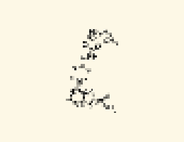 CC(C)(C)OC(=O)NCC1CCN(c2ncnc3cc(C(N)=O)sc23)CC1